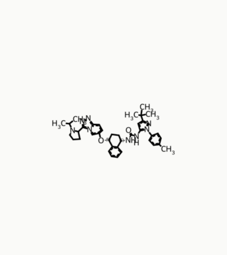 Cc1ccc(-n2nc(C(C)(C)C)cc2NC(=O)N[C@H]2CC[C@@H](Oc3ccc4nnc(C5CCCN5C(C)C)n4c3)c3ccccc32)cc1